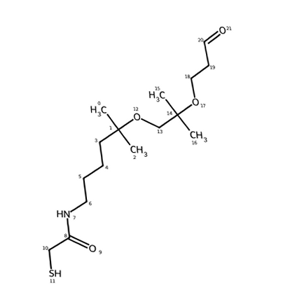 CC(C)(CCCCNC(=O)CS)OCC(C)(C)OCCC=O